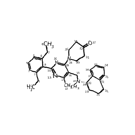 CCc1cccc(CC)c1-c1nc(C)c(CN(C)[C@H]2CCCc3ccccc32)c(N2CCC(=O)CC2)n1